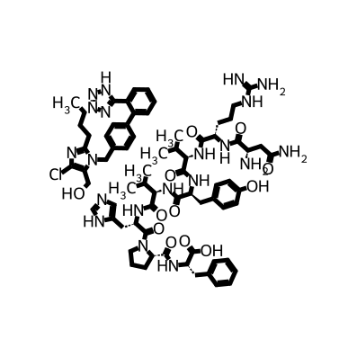 CC(C)[C@H](NC(=O)[C@H](CCCNC(=N)N)NC(=O)[C@@H](N)CC(N)=O)C(=O)N[C@@H](Cc1ccc(O)cc1)C(=O)N[C@H](C(=O)N[C@@H](Cc1cnc[nH]1)C(=O)N1CCC[C@H]1C(=O)N[C@@H](Cc1ccccc1)C(=O)O)C(C)C.CCCCc1nc(Cl)c(CO)n1Cc1ccc(-c2ccccc2-c2nnn[nH]2)cc1